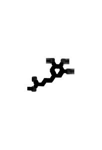 COC(=O)CC=Cc1cc(O)c(O)c(O)c1